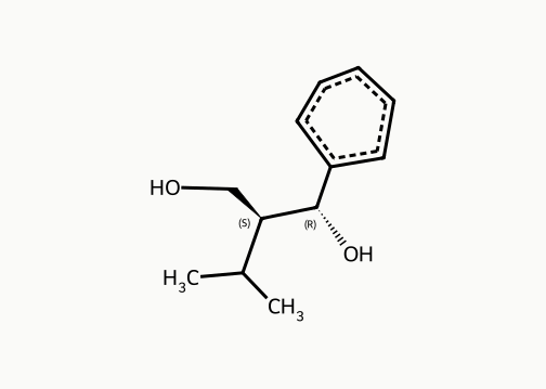 CC(C)[C@@H](CO)[C@@H](O)c1ccccc1